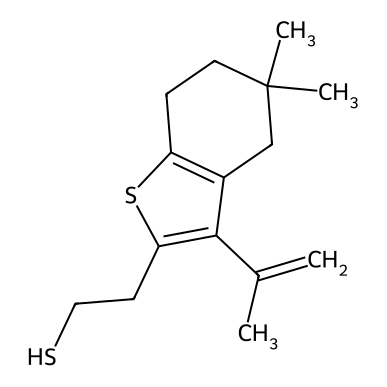 C=C(C)c1c(CCS)sc2c1CC(C)(C)CC2